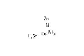 [AlH3].[Cu].[Ni].[SnH4].[Zn]